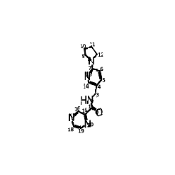 O=C(NCc1ccc(N2CCCC2)nc1)c1cnccn1